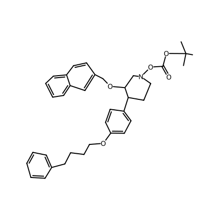 CC(C)(C)OC(=O)ON1CCC(c2ccc(OCCCCc3ccccc3)cc2)C(OCc2ccc3ccccc3c2)C1